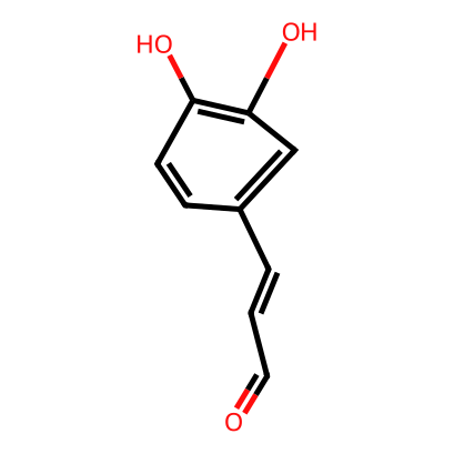 O=CC=Cc1ccc(O)c(O)c1